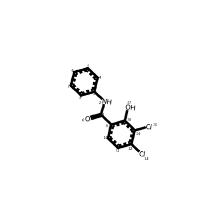 O=C(Nc1ccccc1)c1ccc(Cl)c(Cl)c1O